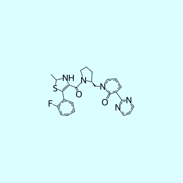 CC1NC(C(=O)N2CCC[C@H]2Cn2cccc(-c3ncccn3)c2=O)=C(c2ccccc2F)S1